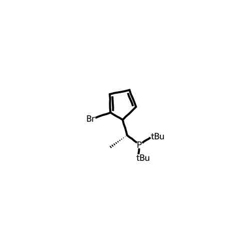 C[C@H](C1C=CC=C1Br)P(C(C)(C)C)C(C)(C)C